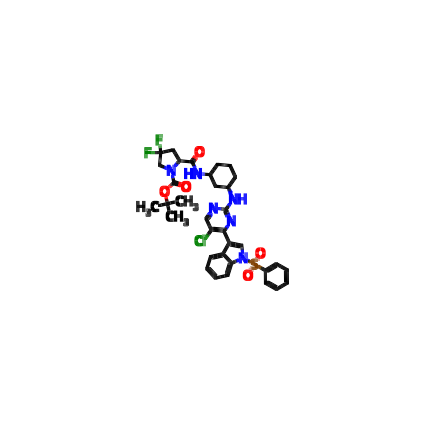 CC(C)(C)OC(=O)N1CC(F)(F)CC1C(=O)NC1CCC[C@@H](Nc2ncc(Cl)c(-c3cn(S(=O)(=O)c4ccccc4)c4ccccc34)n2)C1